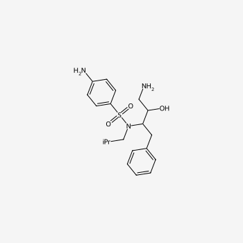 CC(C)CN(C(Cc1ccccc1)C(O)CN)S(=O)(=O)c1ccc(N)cc1